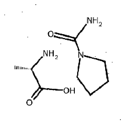 C[C@H](N)C(=O)O.NC(=O)N1CCCC1